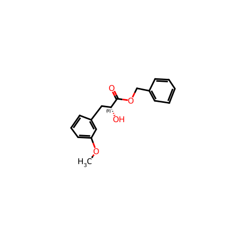 COc1cccc(C[C@@H](O)C(=O)OCc2ccccc2)c1